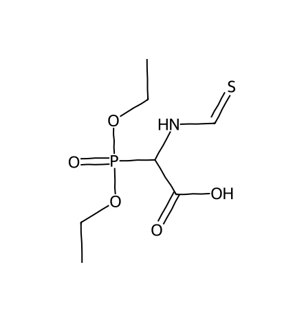 CCOP(=O)(OCC)C(NC=S)C(=O)O